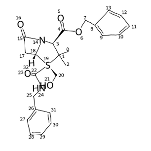 CC1(C)[C@H](C(=O)OCc2ccccc2)N2C(=O)C[C@H]2[S@@]1(CO)C(=O)NCc1ccccc1